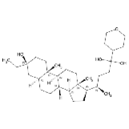 CC[C@]1(O)CC[C@@]2(C)[C@@H](CC[C@@H]3[C@@H]2CC[C@]2(C)[C@@H]([C@H](C)CCC(O)(O)C4CCOCC4)CC[C@@H]32)C1